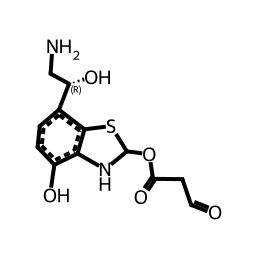 NC[C@H](O)c1ccc(O)c2c1SC(OC(=O)CC=O)N2